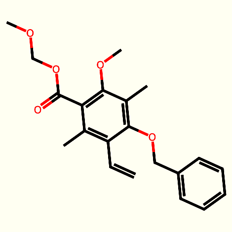 C=Cc1c(C)c(C(=O)OCOC)c(OC)c(C)c1OCc1ccccc1